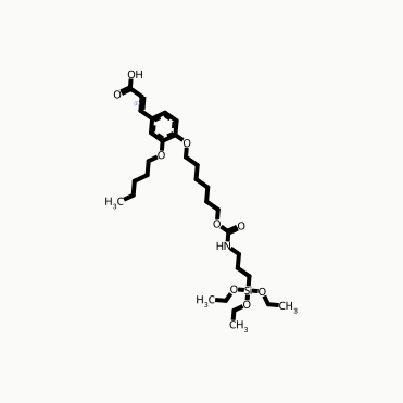 CCCCCOc1cc(/C=C/C(=O)O)ccc1OCCCCCCOC(=O)NCCC[Si](OCC)(OCC)OCC